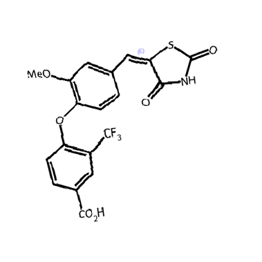 COc1cc(/C=C2/SC(=O)NC2=O)ccc1Oc1ccc(C(=O)O)cc1C(F)(F)F